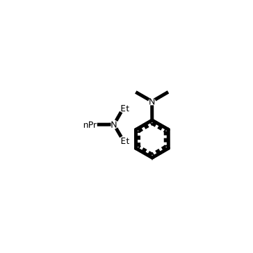 CN(C)c1cc[c]cc1.[CH2]CCN(CC)CC